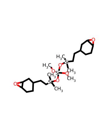 CO[Si](OC)(O[Si](C)(C)CCC1CCC2OC2C1)O[Si](C)(C)CCC1CCC2OC2C1